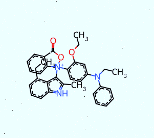 CCOc1cc(N(CC)c2ccccc2)ccc1[N+]1(c2c(C)[nH]c3cccc(CC)c23)OC(=O)c2ccccc21